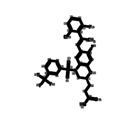 C/C(=C\c1cc2c(cc1F)O[C@@H](CCC(=O)O)CN2S(=O)(=O)c1cccc(C(F)(F)F)c1)c1c(F)cccc1Cl